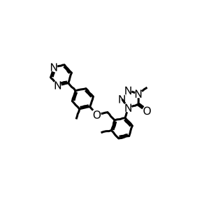 Cc1cc(-c2ccncn2)ccc1OCc1c(C)cccc1-n1nnn(C)c1=O